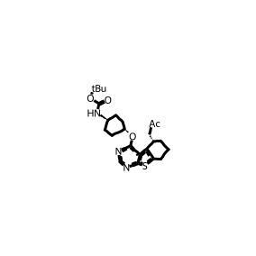 CC(=O)C[C@@H]1CCCc2sc3ncnc(O[C@H]4CC[C@H](NC(=O)OC(C)(C)C)CC4)c3c21